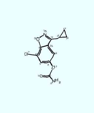 NC(=O)Oc1cc(Cl)c2onc(C3CC3)c2c1